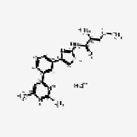 COC[C@H](N)C(=O)Nc1nc(-c2cccc(-c3cc(C)nc(C)n3)c2)cs1.Cl